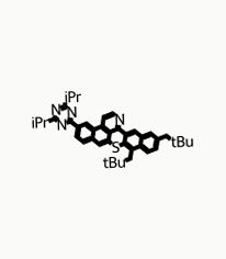 CC(C)c1nc(-c2ccc3cc4c5c(nccc5c3c2)-c2cc3cc(CC(C)(C)C)ccc3c(CC(C)(C)C)c2S4)nc(C(C)C)n1